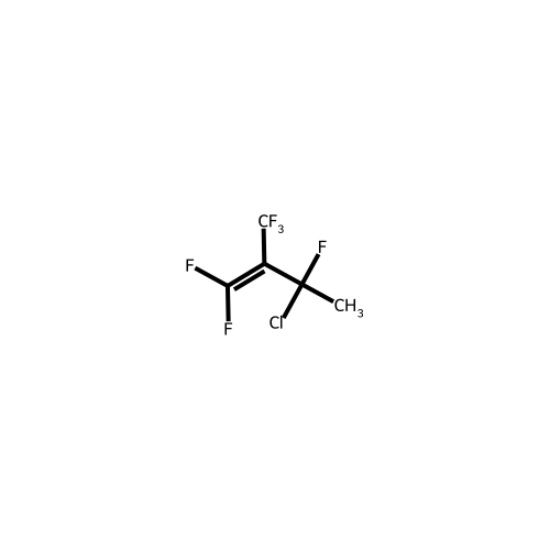 CC(F)(Cl)C(=C(F)F)C(F)(F)F